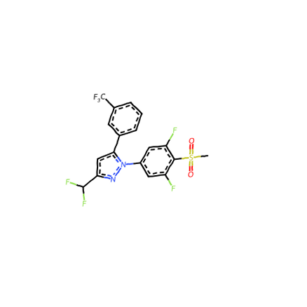 CS(=O)(=O)c1c(F)cc(-n2nc(C(F)F)cc2-c2cccc(C(F)(F)F)c2)cc1F